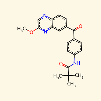 COc1cnc2ccc(C(=O)c3ccc(NC(=O)C(C)(C)C)cc3)cc2n1